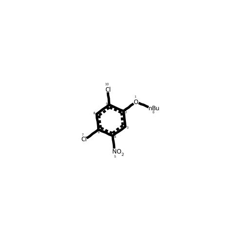 CCCCOc1cc([N+](=O)[O-])c(Cl)cc1Cl